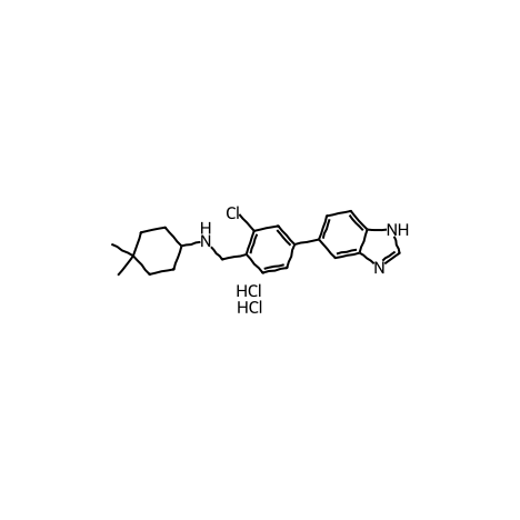 CC1(C)CCC(NCc2ccc(-c3ccc4[nH]cnc4c3)cc2Cl)CC1.Cl.Cl